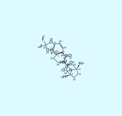 O=C1CCC(S(=O)(=O)N2[C@@H]3CC[C@H]2C[C@@H](NC(=O)c2ccc4c(c2)OC(F)(F)O4)C3)CC1